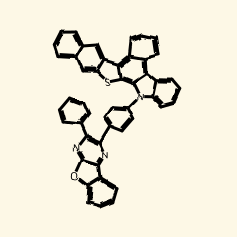 c1ccc(-c2nc3oc4ccccc4c3nc2-c2ccc(-n3c4ccccc4c4c5ccccc5c5c6cc7ccccc7cc6sc5c43)cc2)cc1